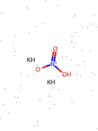 O=[N+]([O-])O.[KH].[KH]